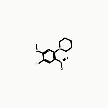 COc1cc(N2CC[CH]CC2)c([N+](=O)[O-])cc1Br